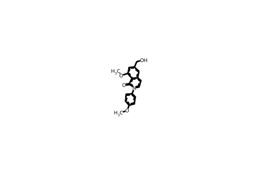 COc1ccc(-n2ccc3cc(CO)cc(OC)c3c2=O)cc1